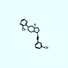 N#Cc1cccc(C#C[C@@H]2CC[C@@H]3CN(c4nccnc4C#N)CCN32)n1